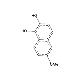 COc1ccc2c(O)c(O)ccc2c1